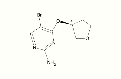 Nc1ncc(Br)c(O[C@H]2CCOC2)n1